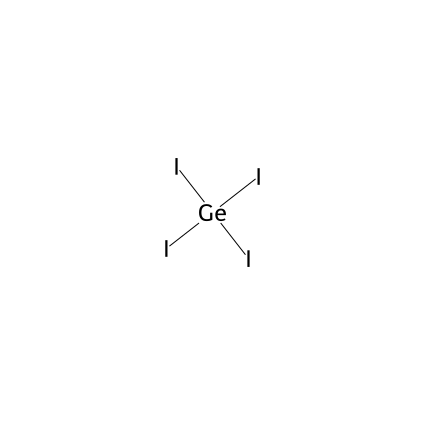 [I][Ge]([I])([I])[I]